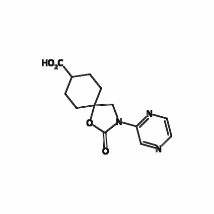 O=C(O)C1CCC2(CC1)CN(c1cnccn1)C(=O)O2